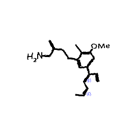 C=C/C(=C\C=C/C)c1cc(CCC(=C)CN)c(C)c(OC)c1